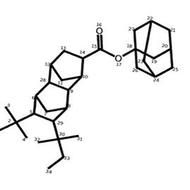 CCC(C)(C)C1C2CC(C3C4CC(CC4C(=O)OC45CC6CC(CC(C6)C4)C5)C23)C1C(C)(C)CC